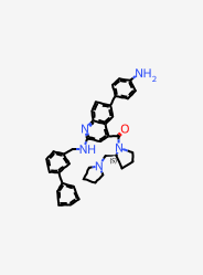 Nc1ccc(-c2ccc3nc(NCc4cccc(-c5ccccc5)c4)cc(C(=O)N4CCC[C@H]4CN4CCCC4)c3c2)cc1